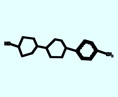 Cc1ccc(C2CCC(C3CCC(O)CC3)CC2)cc1